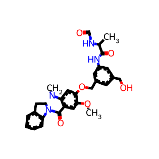 C=Nc1cc(OCc2cc(CO)cc(NC(=O)C(C)NC=O)c2)c(OC)cc1C(=O)N1CCc2ccccc21